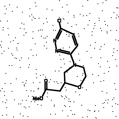 COC(=O)CC1CN(c2ccc(Cl)nn2)CCO1